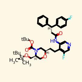 CC(C)(C)OC(=O)N1C[C@@H](CCc2c(F)cncc2NC(=O)C[C@H](c2ccccc2)c2ccc(F)cc2)OC[C@H]1CO[Si](C)(C)C(C)(C)C